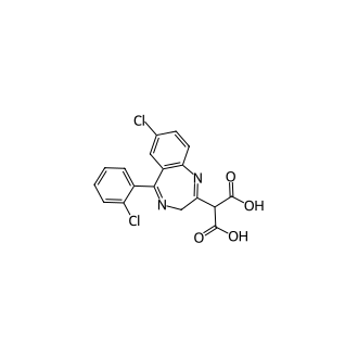 O=C(O)C(C(=O)O)C1=Nc2ccc(Cl)cc2C(c2ccccc2Cl)=NC1